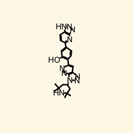 CC1(C)CC(n2nnc3cc(-c4ccc(-c5ccc6[nH]nnc6n5)cc4O)nnc32)CC(C)(C)N1